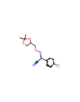 CC1(C)OCC(CO/N=C(\C#N)c2ccc(Cl)cc2)O1